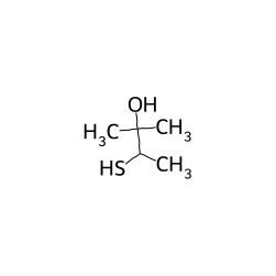 CC(S)C(C)(C)O